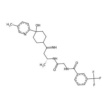 Cc1ccc(C2(O)CCC(C(=N)C[C@@H](C)NC(=O)CNC(=O)c3cccc(C(F)(F)F)c3)CC2)nc1